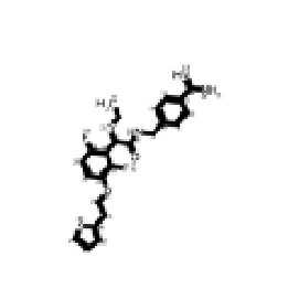 CCOC(C(=O)NCc1ccc(C(=N)N)cc1)c1c(F)ccc(OCCc2cccs2)c1F